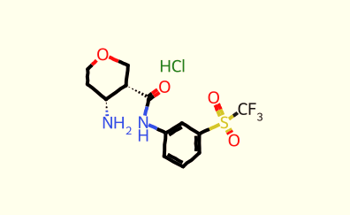 Cl.N[C@@H]1CCOC[C@@H]1C(=O)Nc1cccc(S(=O)(=O)C(F)(F)F)c1